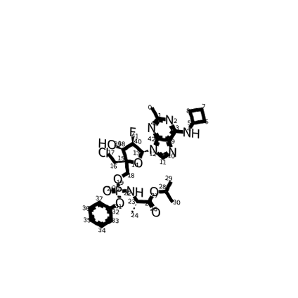 Cc1nc(NC2CCC2)c2ncn([C@@H]3O[C@](CCl)(COP(=O)(N[C@@H](C)C(=O)OC(C)C)Oc4ccccc4)[C@@H](O)[C@H]3F)c2n1